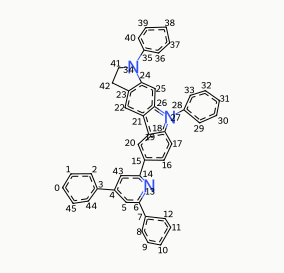 c1ccc(-c2cc(-c3ccccc3)nc(-c3ccc4c(c3)c3cc5c(cc3n4-c3ccccc3)N(c3ccccc3)CC5)c2)cc1